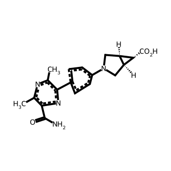 Cc1nc(C)c(-c2ccc(N3C[C@@H]4[C@H](C3)[C@H]4C(=O)O)cc2)nc1C(N)=O